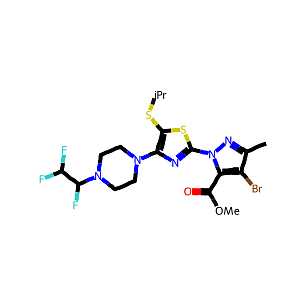 COC(=O)c1c(Br)c(C)nn1-c1nc(N2CCN(C(F)C(F)F)CC2)c(SC(C)C)s1